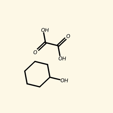 O=C(O)C(=O)O.OC1CCCCC1